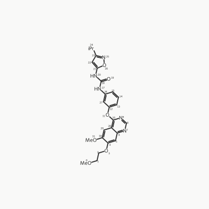 COCCOc1cc2ncnc(Oc3cccc(NC(=O)Nc4cc(C(C)C)no4)c3)c2cc1OC